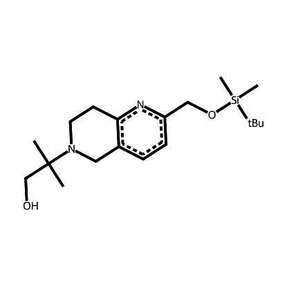 CC(C)(CO)N1CCc2nc(CO[Si](C)(C)C(C)(C)C)ccc2C1